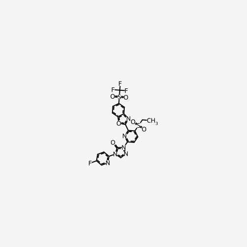 CCS(=O)(=O)c1ccc(-n2ncn(-c3ccc(F)cn3)c2=O)nc1-c1nc2cc(S(=O)(=O)C(F)(F)F)ccc2o1